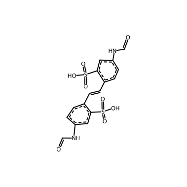 O=CNc1ccc(C=Cc2ccc(NC=O)cc2S(=O)(=O)O)c(S(=O)(=O)O)c1